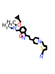 CCN(CC)Cc1c(OCC2CC2)ccc2c(CCC3CCN(Cc4ccc(C#N)s4)CC3)noc12